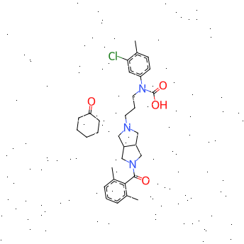 Cc1ccc(N(CCCN2CC3CN(C(=O)c4c(C)cccc4C)CC3C2)C(=O)O)cc1Cl.O=C1CCCCC1